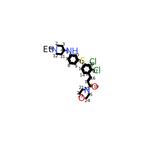 CCN1CCC(Nc2cccc(Sc3ccc(C=CC(=O)N4CCOCC4)c(Cl)c3Cl)c2)CC1